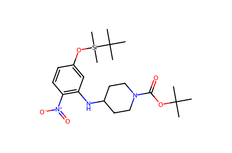 CC(C)(C)OC(=O)N1CCC(Nc2cc(O[Si](C)(C)C(C)(C)C)ccc2[N+](=O)[O-])CC1